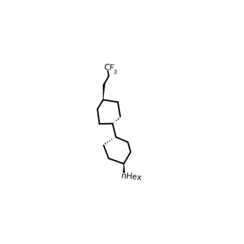 CCCCCC[C@H]1CC[C@H]([C@H]2CC[C@H](CCC(F)(F)F)CC2)CC1